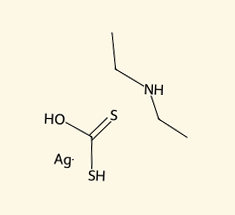 CCNCC.OC(=S)S.[Ag]